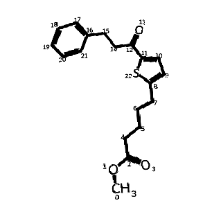 COC(=O)CCCCc1ccc(C(=O)CCc2ccccc2)s1